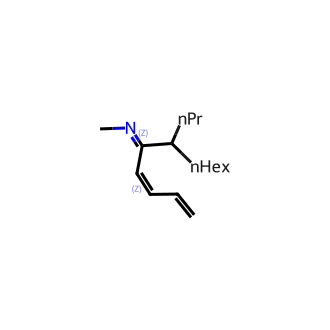 C=C/C=C\C(=N/C)C(CCC)CCCCCC